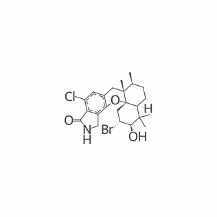 C[C@H]1CC[C@H]2C(C)(C)[C@@H](O)[C@H](Br)C[C@]23Oc2c(cc(Cl)c4c2CNC4=O)C[C@]13C